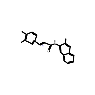 Cc1ccc(/C=C/C(=O)Nc2cc3ccccc3cc2C)cc1C